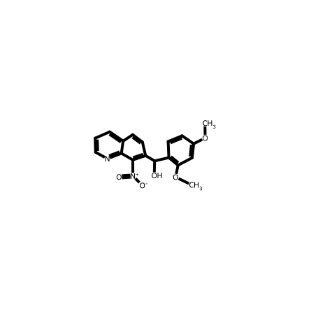 COc1ccc(C(O)c2ccc3cccnc3c2[N+](=O)[O-])c(OC)c1